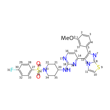 COc1cccc(-c2nc3sccn3c2-c2ccnc(NC3CCN(S(=O)(=O)c4ccc(F)cc4)CC3)n2)c1